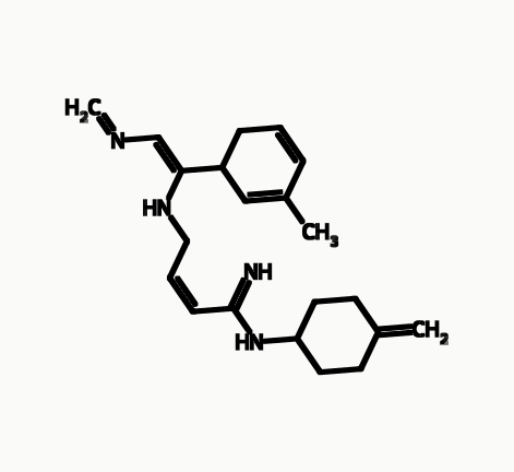 C=N/C=C(\NC/C=C\C(=N)NC1CCC(=C)CC1)C1C=C(C)C=CC1